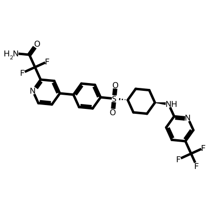 NC(=O)C(F)(F)c1cc(-c2ccc(S(=O)(=O)[C@H]3CC[C@H](Nc4ccc(C(F)(F)F)cn4)CC3)cc2)ccn1